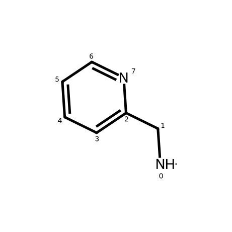 [NH]Cc1ccccn1